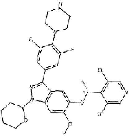 COc1cc2c(cc1O[C@H](C)c1c(Cl)cncc1Cl)c(-c1cc(F)c(N3CCNCC3)c(F)c1)nn2C1CCCCO1